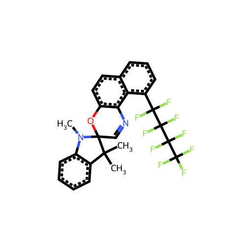 CN1c2ccccc2C(C)(C)C12C=Nc1c(ccc3cccc(C(F)(F)C(F)(F)C(F)(F)C(F)(F)F)c13)O2